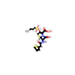 CCCCS(=O)(=O)OC1=C(C(=O)O)N2C(=O)C(NC(=O)Cc3cccs3)[C@H]2SC1